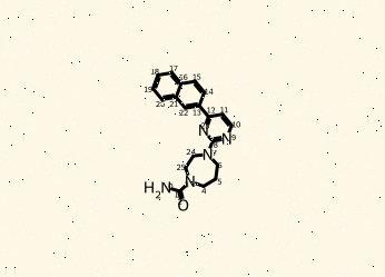 NC(=O)N1CCCN(c2nccc(-c3ccc4ccccc4c3)n2)CC1